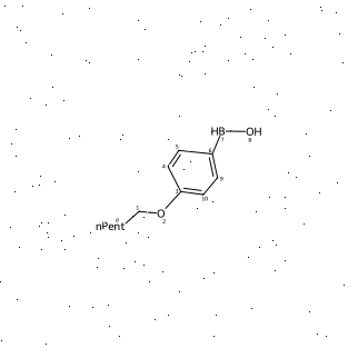 CCCCCCOc1ccc(BO)cc1